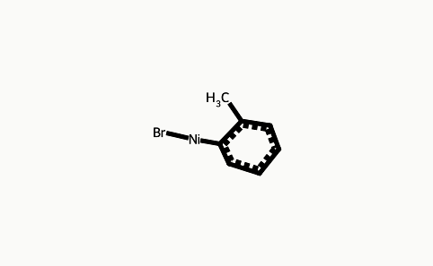 Cc1cccc[c]1[Ni][Br]